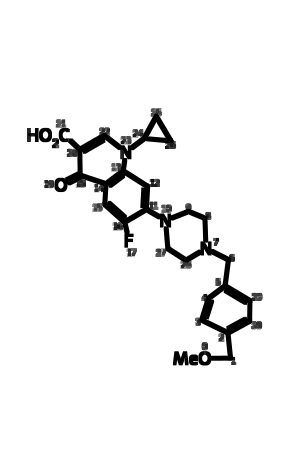 COCc1ccc(CN2CCN(c3cc4c(cc3F)c(=O)c(C(=O)O)cn4C3CC3)CC2)cc1